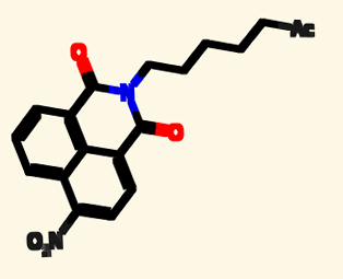 CC(=O)CCCCCN1C(=O)c2cccc3c([N+](=O)[O-])ccc(c23)C1=O